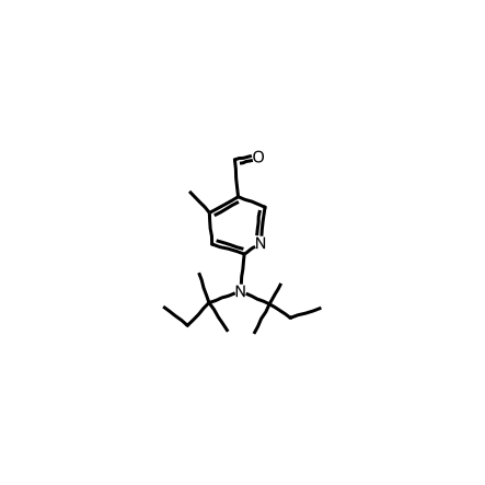 CCC(C)(C)N(c1cc(C)c(C=O)cn1)C(C)(C)CC